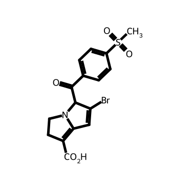 CS(=O)(=O)c1ccc(C(=O)C2C(Br)=CC3=C(C(=O)O)CCN32)cc1